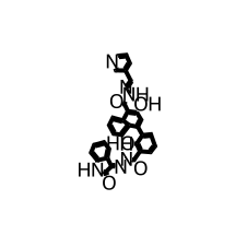 O=C1Nc2ccccc2/C1=N\NC(=O)c1cccc(-c2cc(O)c(C(=O)N/N=C/c3cccnc3)c3ccccc23)c1O